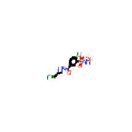 O=C(NCCCCl)c1ccc(Cl)c(S(=O)(=O)NO)c1